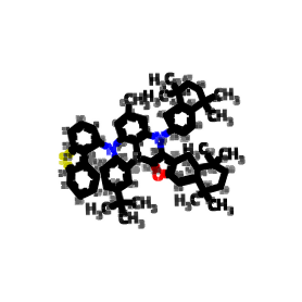 Cc1cc2c3c(c1)N(c1cccc4sc5ccccc5c14)c1ccc(C(C)(C)C)cc1B3c1oc3c(c1N2c1ccc2c(c1)C(C)(C)CCC2(C)C)CC1C(=C3)C(C)(C)CCC1(C)C